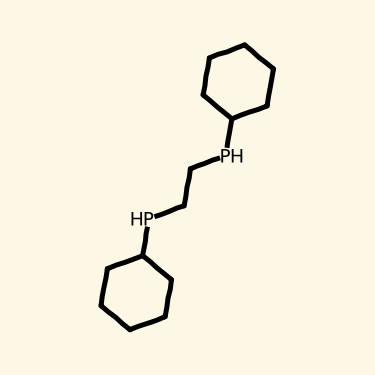 C1CCC(PCCPC2CCCCC2)CC1